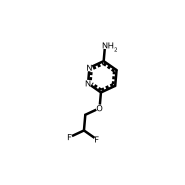 Nc1ccc(OCC(F)F)nn1